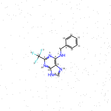 FC(F)(F)c1nc(NCc2ccccc2)c2nc[nH]c2n1